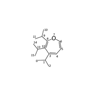 CC(C)C1=CC=COC(C(C)C)=C1C(C)C